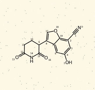 N#Cc1cc(O)cc2c(C3CCC(=O)NC3=O)coc12